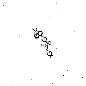 CC1(C)CCN(CCNC(=O)C2CCN(c3ccc(C#N)c4ncccc34)CC2)CC1